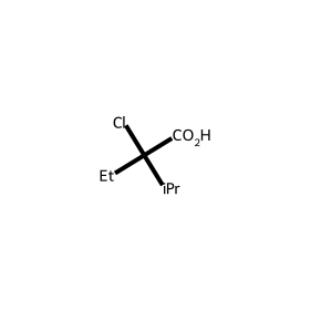 CCC(Cl)(C(=O)O)C(C)C